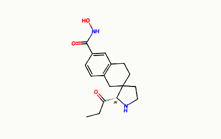 CCC(=O)[C@H]1NCCC12CCc1cc(C(=O)NO)ccc1C2